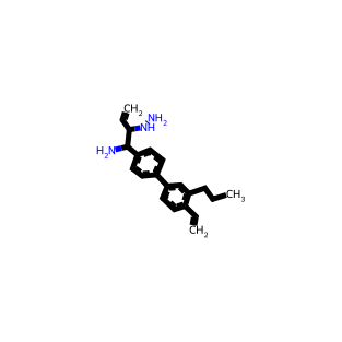 C=Cc1ccc(-c2ccc(C(N)C(C=C)NN)cc2)cc1CCC